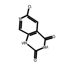 O=c1[nH]c(=O)c2cc(Cl)ncc2[nH]1